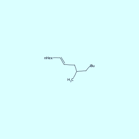 C[CH]C(C)CC(C)CC=CCCCCCC